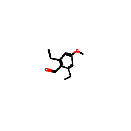 CCc1cc(OC)cc(CC)c1C=O